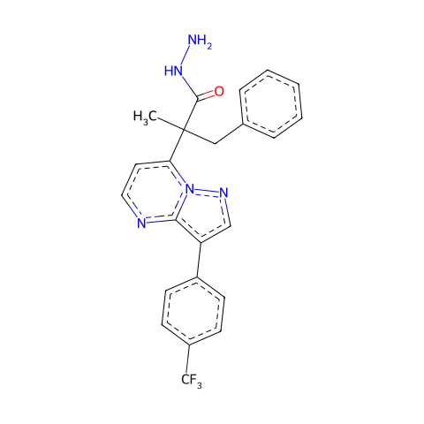 CC(Cc1ccccc1)(C(=O)NN)c1ccnc2c(-c3ccc(C(F)(F)F)cc3)cnn12